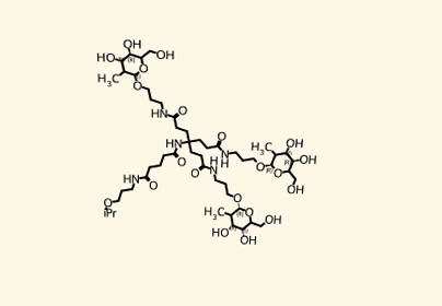 CC(C)OCCCNC(=O)CCCC(=O)NC(CCC(=O)NCCCO[C@@H]1OC(CO)[C@H](O)[C@H](O)C1C)(CCC(=O)NCCCO[C@@H]1OC(CO)[C@H](O)[C@H](O)C1C)CCC(=O)NCCCO[C@@H]1OC(CO)[C@H](O)[C@H](O)C1C